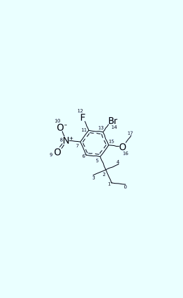 CCC(C)(C)c1cc([N+](=O)[O-])c(F)c(Br)c1OC